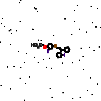 O=C(O)COc1ccc(SCC=C(c2ccccc2)c2ccccc2I)cc1I